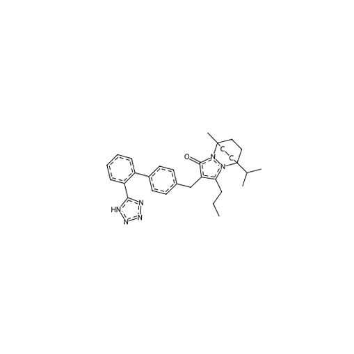 CCCc1c(Cc2ccc(-c3ccccc3-c3nnn[nH]3)cc2)c(=O)n2n1C1(C(C)C)CCC2(C)CC1